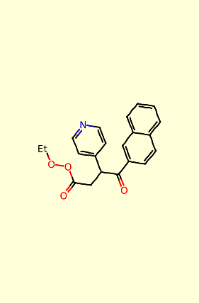 CCOOC(=O)CC(C(=O)c1ccc2ccccc2c1)c1ccncc1